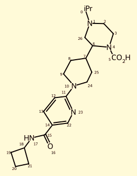 CC(C)N1CCN(C(=O)O)C(C2CCN(c3ccc(C(=O)NC4CCC4)cn3)CC2)C1